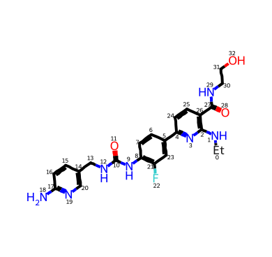 CCNc1nc(-c2ccc(NC(=O)NCc3ccc(N)nc3)c(F)c2)ccc1C(=O)NCCO